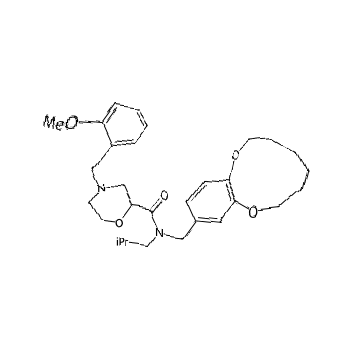 COc1ccccc1CN1CCOC(C(=O)N(Cc2ccc3c(c2)OCCCCCCO3)CC(C)C)C1